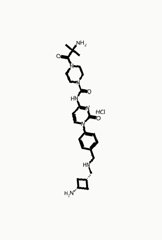 CC(C)(N)C(=O)N1CCN(C(=O)Nc2ccn(-c3ccc(CNC[C@H]4C[C@@H](N)C4)cc3)c(=O)n2)CC1.Cl